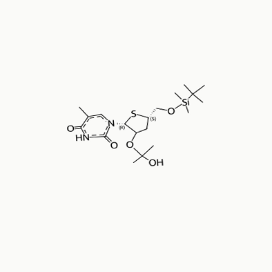 Cc1cn([C@@H]2S[C@H](CO[Si](C)(C)C(C)(C)C)CC2OC(C)(C)O)c(=O)[nH]c1=O